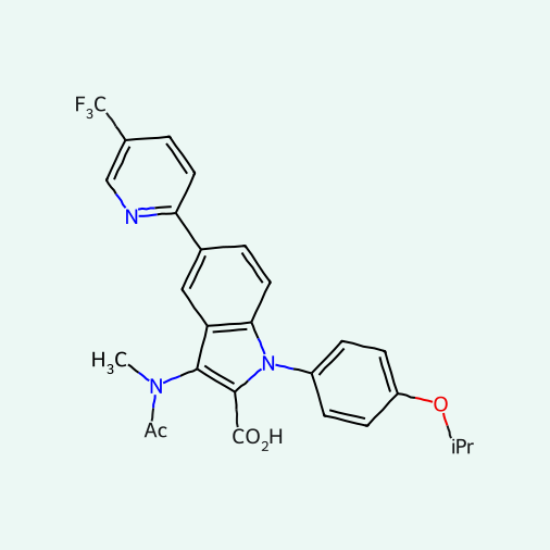 CC(=O)N(C)c1c(C(=O)O)n(-c2ccc(OC(C)C)cc2)c2ccc(-c3ccc(C(F)(F)F)cn3)cc12